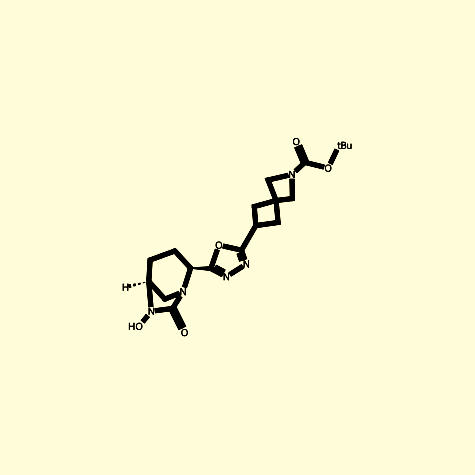 CC(C)(C)OC(=O)N1CC2(CC(c3nnc([C@@H]4CC[C@H]5CN4C(=O)N5O)o3)C2)C1